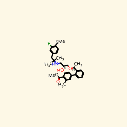 COC(=O)c1ccc(-c2ccccc2[C@@H](C)OC[C@H](O)CNC(C)(C)Cc2ccc(SC)c(F)c2)cc1C